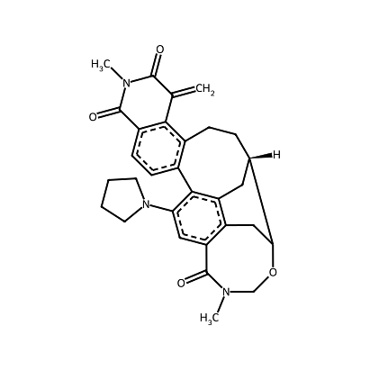 C=C1C(=O)N(C)C(=O)c2ccc3c(c21)CC[C@H]1Cc2c4c(cc(N5CCCC5)c2-3)C(=O)N(C)COC1C4